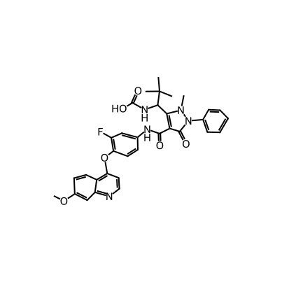 COc1ccc2c(Oc3ccc(NC(=O)c4c(C(NC(=O)O)C(C)(C)C)n(C)n(-c5ccccc5)c4=O)cc3F)ccnc2c1